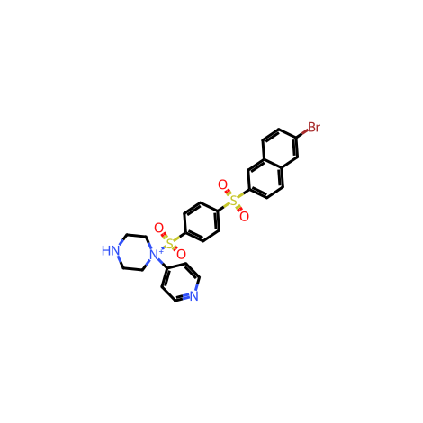 O=S(=O)(c1ccc(S(=O)(=O)[N+]2(c3ccncc3)CCNCC2)cc1)c1ccc2cc(Br)ccc2c1